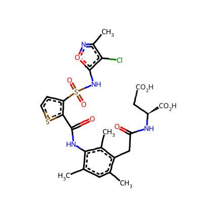 Cc1cc(C)c(NC(=O)c2sccc2S(=O)(=O)Nc2onc(C)c2Cl)c(C)c1CC(=O)N[C@@H](CC(=O)O)C(=O)O